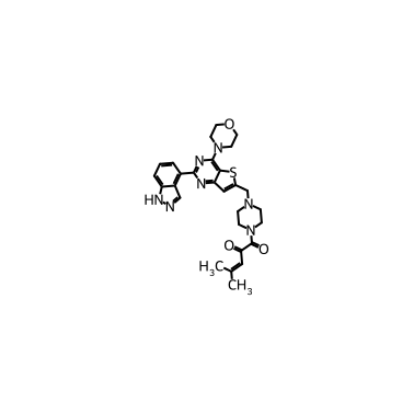 CC(C)=CC(=O)C(=O)N1CCN(Cc2cc3nc(-c4cccc5[nH]ncc45)nc(N4CCOCC4)c3s2)CC1